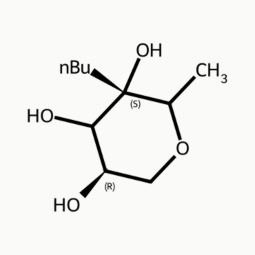 CCCC[C@@]1(O)C(C)OC[C@@H](O)C1O